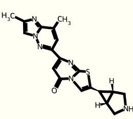 Cc1cn2nc(-c3cc(=O)n4cc([C@H]5[C@@H]6CNC[C@@H]65)sc4n3)cc(C)c2n1